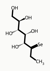 CCC(=[Se])[C@H](O)[C@@H](O)[C@H](O)[C@H](O)CO